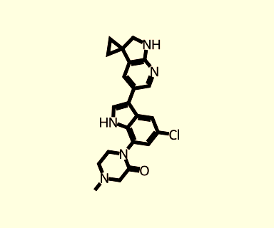 CN1CCN(c2cc(Cl)cc3c(-c4cnc5c(c4)C4(CC4)CN5)c[nH]c23)C(=O)C1